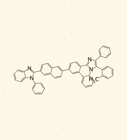 Cc1ccccc1-c1c(-c2ccccc2)nc2c3ccc(-c4ccc5cc(-c6nc7ccccc7n6-c6ccccc6)ccc5c4)cc3c3ccccc3n12